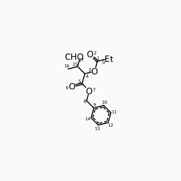 CCC(=O)OC(C(=O)OCc1ccccc1)C(C)C=O